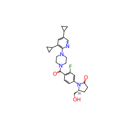 O=C(c1ccc(N2C(=O)CC[C@H]2CO)cc1F)N1CCN(c2ncc(C3CC3)cc2C2CC2)CC1